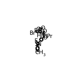 CC(C)C[C@H](NC(=O)c1ccc(-c2nc(N3CCN(C)CC3)sc2F)cc1)C(=O)N1C[C@@H](C=C(Br)Br)C2OCC(=O)C21